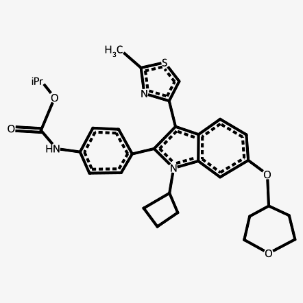 Cc1nc(-c2c(-c3ccc(NC(=O)OC(C)C)cc3)n(C3CCC3)c3cc(OC4CCOCC4)ccc23)cs1